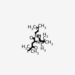 CN(C)CCNC(=O)C(CC(=O)C(C)(C)I)NC(=O)C(C)(C)C